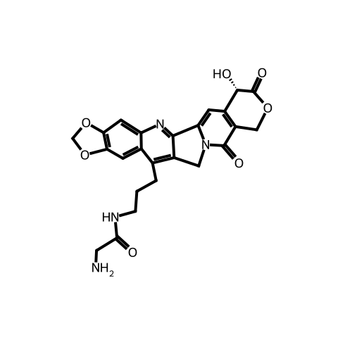 NCC(=O)NCCCc1c2c(nc3cc4c(cc13)OCO4)-c1cc3c(c(=O)n1C2)COC(=O)[C@H]3O